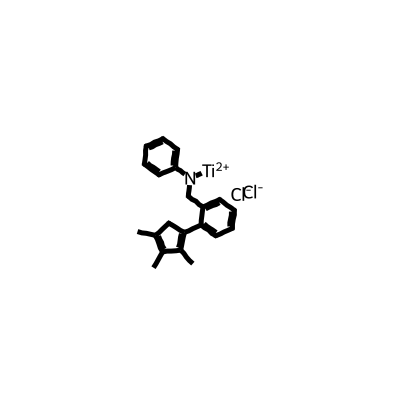 CC1=C(C)C(C)=C(c2ccccc2C[N]([Ti+2])c2ccccc2)C1.[Cl-].[Cl-]